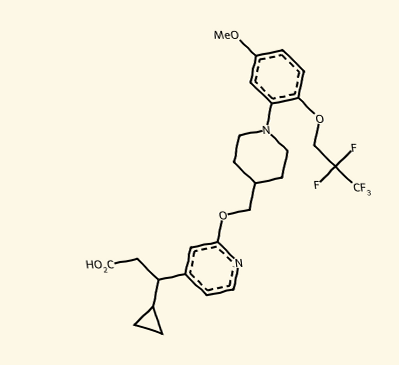 COc1ccc(OCC(F)(F)C(F)(F)F)c(N2CCC(COc3cc(C(CC(=O)O)C4CC4)ccn3)CC2)c1